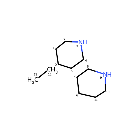 C1CCNCC1.C1CCNCC1.CC